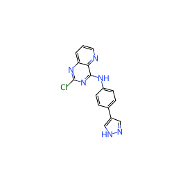 Clc1nc(Nc2ccc(-c3cn[nH]c3)cc2)c2ncccc2n1